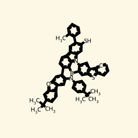 Cc1ccccc1-c1cc2c3ccc4c5c3n(c2cc1S)-c1cc2c(cc1B5N(c1ccc(C(C)(C)C)cc1)c1cc3c(cc1-4)oc1cc(C(C)(C)C)ccc13)sc1ccccc12